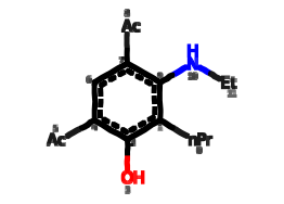 CCCc1c(O)c(C(C)=O)cc(C(C)=O)c1NCC